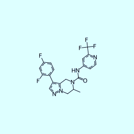 CC1Cn2ncc(-c3ccc(F)cc3F)c2CN1C(=O)Nc1ccnc(C(F)(F)F)c1